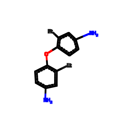 CCc1cc(N)ccc1Oc1ccc(N)cc1CC